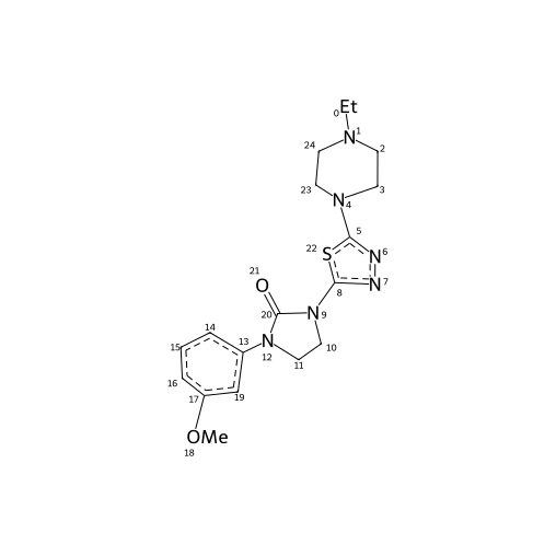 CCN1CCN(c2nnc(N3CCN(c4cccc(OC)c4)C3=O)s2)CC1